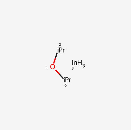 CC(C)OC(C)C.[InH3]